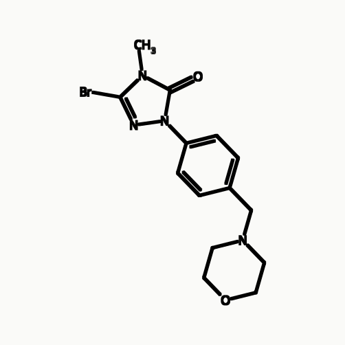 Cn1c(Br)nn(-c2ccc(CN3CCOCC3)cc2)c1=O